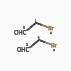 O=CCBr.O=CCBr